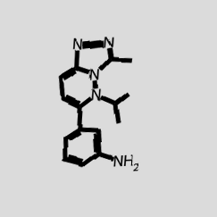 CC(C)N1C(c2cccc(N)c2)=CC=C2N=NC(C)N21